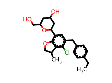 CCc1ccc(Cc2cc(C3CC(O)CC(CO)O3)c3c(c2Cl)C(C)CO3)cc1